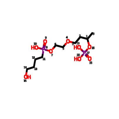 CC(CCOCCOP(=O)(O)CCCCO)OP(=O)(O)O